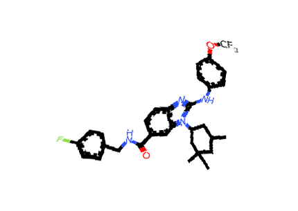 CC1CC(n2c(Nc3ccc(OC(F)(F)F)cc3)nc3ccc(C(=O)NCc4ccc(F)cc4)cc32)CC(C)(C)C1